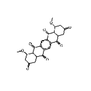 COC1CC(=O)CC2C(=O)c3cc4c(cc3C(=O)C12)C(=O)C1C(OC)CC(=O)CC1C4=O